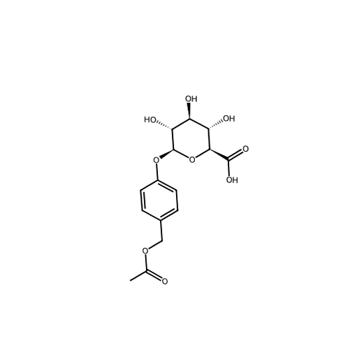 CC(=O)OCc1ccc(O[C@@H]2O[C@H](C(=O)O)[C@@H](O)[C@H](O)[C@H]2O)cc1